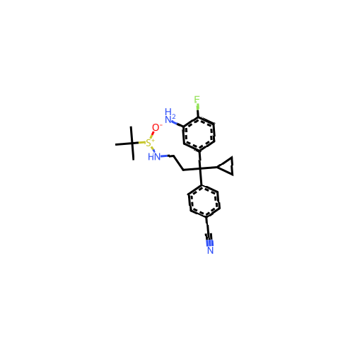 CC(C)(C)[S+]([O-])NCCC(c1ccc(C#N)cc1)(c1ccc(F)c(N)c1)C1CC1